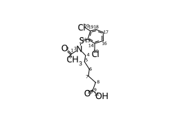 CC(=O)N(CCCCCC(=O)O)Sc1c(Cl)cccc1Cl